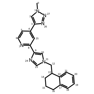 Cn1cc(-c2ccnc(-c3cn(CC4CCCc5ccccc54)cn3)c2)nn1